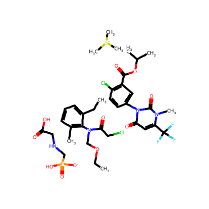 CC(C)OC(=O)c1cc(-n2c(=O)cc(C(F)(F)F)n(C)c2=O)ccc1Cl.CCOCN(C(=O)CCl)c1c(C)cccc1CC.C[S+](C)C.O=C(O)CNCP(=O)([O-])O